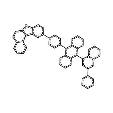 c1ccc(-c2cc(-c3c4ccccc4c(-c4ccc(-c5ccc6oc7ccc8ccccc8c7c6c5)cc4)c4ccccc34)c3ccccc3c2)cc1